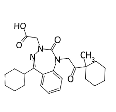 CC1(C(=O)CN2C(=O)N(CC(=O)O)N=C(C3CCCCC3)c3ccccc32)CCCCC1